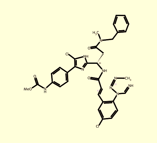 C/N=N\N(C=N)c1ccc(Cl)cc1/C=C/C(=O)N[C@@H](CC(=O)N(C)Cc1ccccc1)c1nc(-c2ccc(NC(=O)OC)cc2)c(Cl)[nH]1